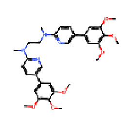 COc1cc(-c2ccc(N(C)CCN(C)c3ccc(-c4cc(OC)c(OC)c(OC)c4)cn3)nc2)cc(OC)c1OC